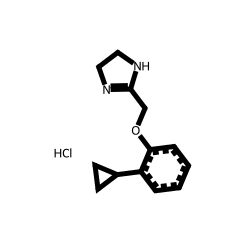 Cl.c1ccc(C2CC2)c(OCC2=NCCN2)c1